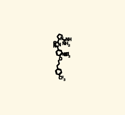 Cl.N=C(N)N1CCCC1c1nc(-c2ccc(OCCCc3ccc(C(F)(F)F)cc3)c(C(F)(F)F)c2)no1